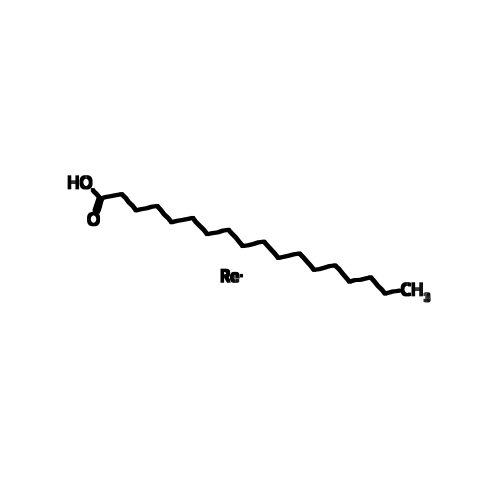 CCCCCCCCCCCCCCCCCC(=O)O.[Re]